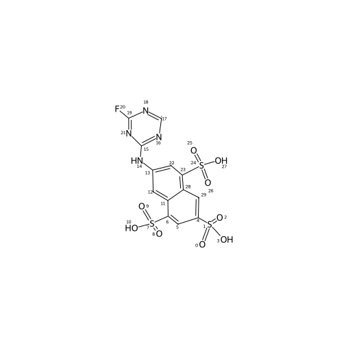 O=S(=O)(O)c1cc(S(=O)(=O)O)c2cc(Nc3n[c]nc(F)n3)cc(S(=O)(=O)O)c2c1